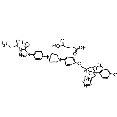 CCC(C)n1ncn(-c2ccc(N3CCN(c4ccc(OC[C@H]5CO[C@](Cn6cncn6)(c6ccc(Cl)cc6Cl)O5)cc4)CC3)cc2)c1=O.O=C(O)CCC(=O)O